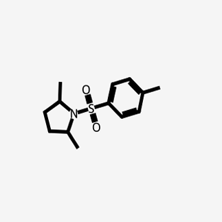 Cc1ccc(S(=O)(=O)N2C(C)CCC2C)cc1